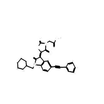 O=C(O)CN1C(=O)S/C(=C2\C(=O)N(CC3CCCCC3)c3ccc(C#Cc4ccccc4)cc32)C1=O